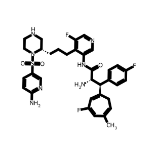 CC1=CCC([C@H](c2ccc(F)cc2)[C@H](N)C(=O)Nc2cncc(F)c2CCC[C@H]2CNCCN2S(=O)(=O)c2ccc(N)nc2)=CC(F)=C1